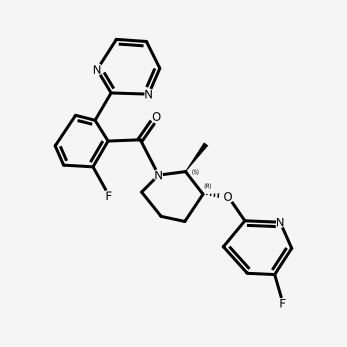 C[C@H]1[C@H](Oc2ccc(F)cn2)CCCN1C(=O)c1c(F)cccc1-c1ncccn1